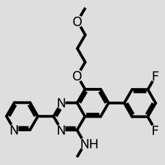 CNc1nc(-c2cccnc2)nc2c(OCCCOC)cc(-c3cc(F)cc(F)c3)cc12